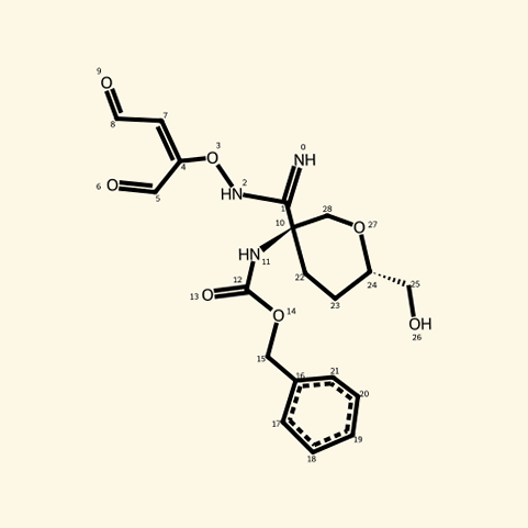 N=C(NO/C(C=O)=C/C=O)[C@@]1(NC(=O)OCc2ccccc2)CC[C@@H](CO)OC1